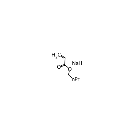 C=CC(=O)OCCCC.[NaH]